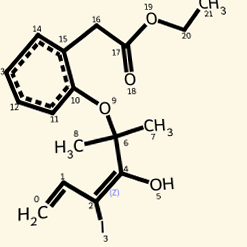 C=C/C(I)=C(/O)C(C)(C)Oc1ccccc1CC(=O)OCC